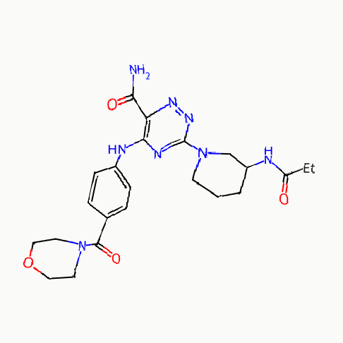 CCC(=O)NC1CCCN(c2nnc(C(N)=O)c(Nc3ccc(C(=O)N4CCOCC4)cc3)n2)C1